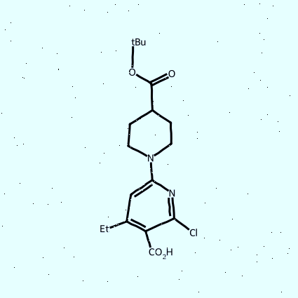 CCc1cc(N2CCC(C(=O)OC(C)(C)C)CC2)nc(Cl)c1C(=O)O